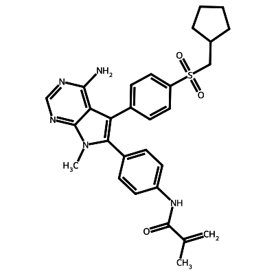 C=C(C)C(=O)Nc1ccc(-c2c(-c3ccc(S(=O)(=O)CC4CCCC4)cc3)c3c(N)ncnc3n2C)cc1